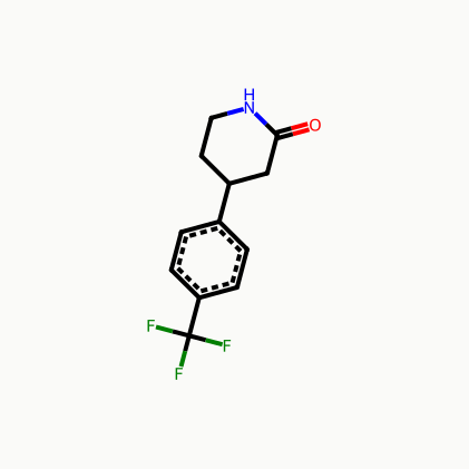 O=C1CC(c2ccc(C(F)(F)F)cc2)CCN1